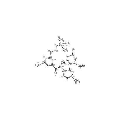 COc1cc(F)ccc1-c1cc(C)ncc1N(C)C(=O)c1cc(SCC[Si](C)(C)C)cc(C(F)(F)F)c1